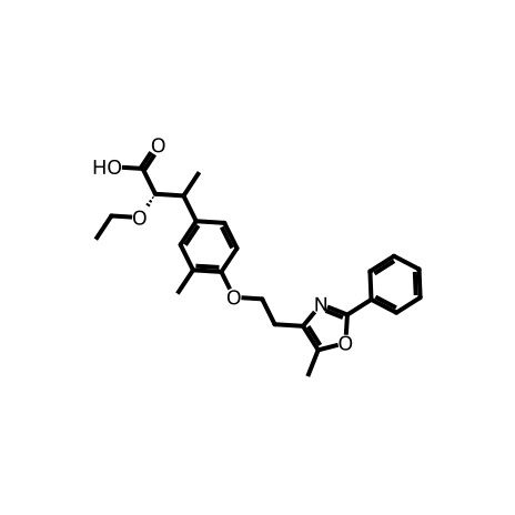 CCO[C@H](C(=O)O)C(C)c1ccc(OCCc2nc(-c3ccccc3)oc2C)c(C)c1